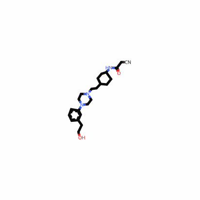 N#CCC(=O)NC1CCC(CCN2CCN(c3cccc(CCO)c3)CC2)CC1